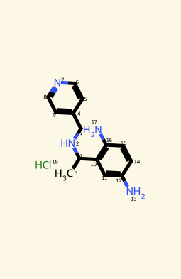 CC(NCc1ccncc1)c1cc(N)ccc1N.Cl